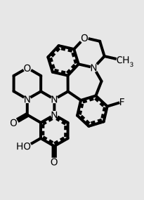 CC1COc2cccc3c2N1Cc1c(F)cccc1C3N1C2COCCN2C(=O)c2c(O)c(=O)ccn21